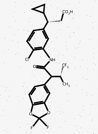 C[C@H](C(C(=O)Nc1cc([C@@H](CC(=O)O)C2CC2)ccc1Cl)c1ccc2c(c1)OC(F)(F)O2)C(F)(F)F